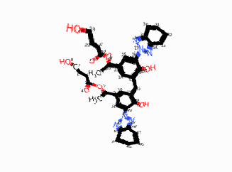 CC(OC(=O)CCCO)c1cc(Cc2cc(C(C)OC(=O)CCCO)cc(-n3nc4ccccc4n3)c2O)c(O)c(-n2nc3ccccc3n2)c1